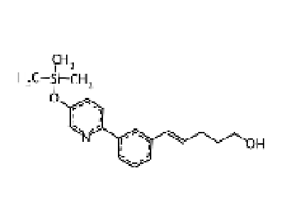 C[Si](C)(C)Oc1ccc(-c2cccc(C=CCCCO)c2)nc1